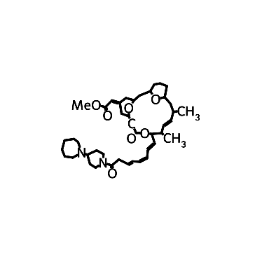 COC(=O)/C=C1\CC2CC(=O)OC(/C=C/C=C\C=C\CC(=O)N3CCC(N4CCCCCC4)CC3)C(C)/C=C/C(C)CC3CCCC(CC(C1)O2)O3